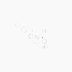 O=C(Nc1scc(-c2ccc(Cl)cc2)c1C(=O)O)c1sc(C(F)(F)F)cc1O